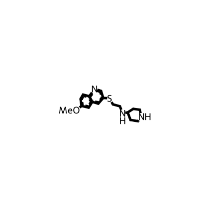 COc1ccc2ncc(SCCNC3CCNCC3)cc2c1